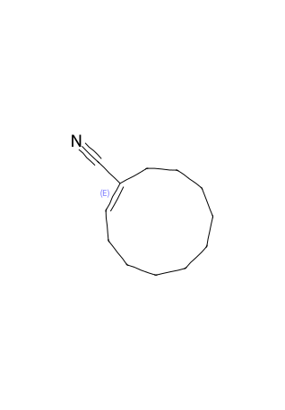 N#C/C1=C/CCCCCCCCC1